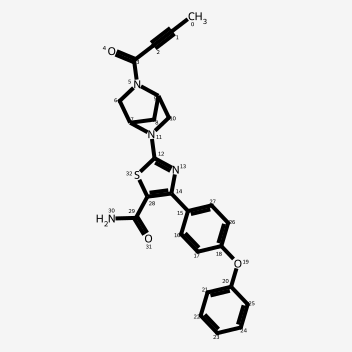 CC#CC(=O)N1CC2CC1CN2c1nc(-c2ccc(Oc3ccccc3)cc2)c(C(N)=O)s1